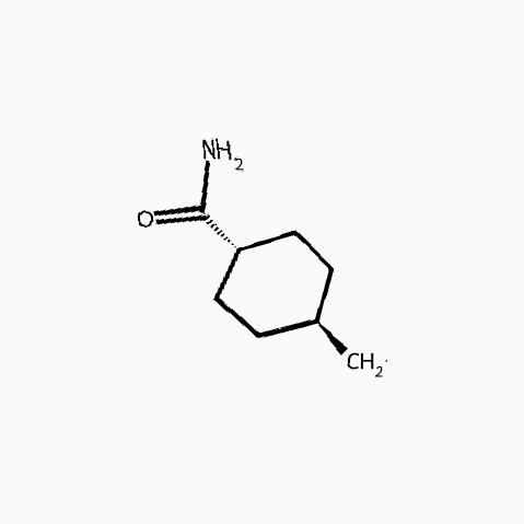 [CH2][C@H]1CC[C@H](C(N)=O)CC1